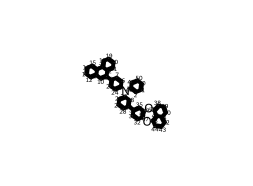 c1ccc(N(c2ccc(-c3cc4ccccc4c4ccccc34)cc2)c2cccc(-c3ccc4c(c3)Oc3cccc5cccc(c35)O4)c2)cc1